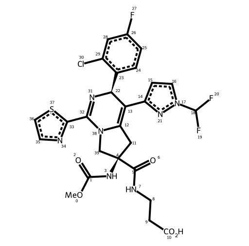 COC(=O)N[C@]1(C(=O)NCCC(=O)O)CC2=C(c3ccn(C(F)F)n3)[C@H](c3ccc(F)cc3Cl)N=C(c3nccs3)N2C1